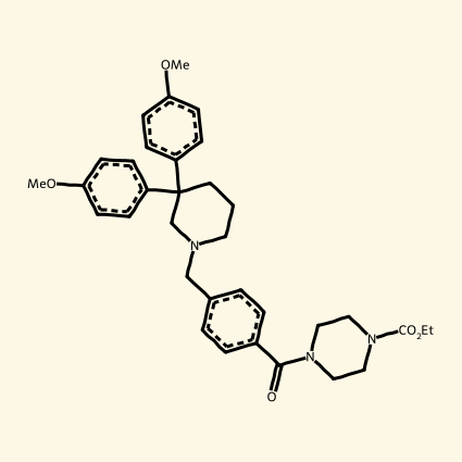 CCOC(=O)N1CCN(C(=O)c2ccc(CN3CCCC(c4ccc(OC)cc4)(c4ccc(OC)cc4)C3)cc2)CC1